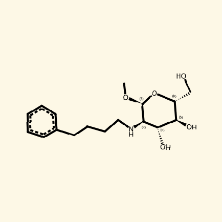 CO[C@H]1O[C@H](CO)[C@@H](O)[C@H](O)[C@H]1NCCCCc1ccccc1